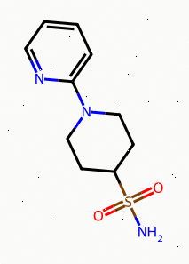 NS(=O)(=O)C1CCN(c2ccccn2)CC1